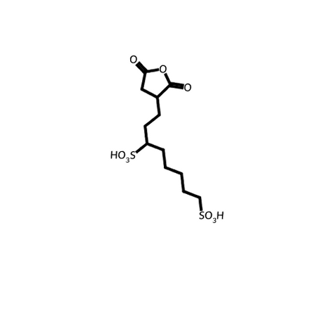 O=C1CC(CCC(CCCCCS(=O)(=O)O)S(=O)(=O)O)C(=O)O1